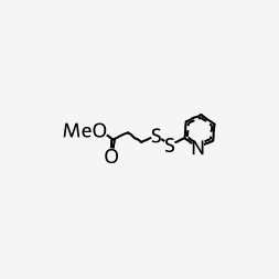 COC(=O)CCSSc1ccccn1